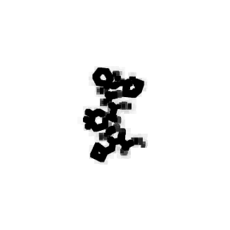 CC1CN(C(=O)[C@@H](NC(=O)NC2(C[S+]([O-])c3ccccn3)CCCCC2)C(C)(C)C)[C@H](C(=O)NC(CC2CCC2)C(=O)C(N)=O)CC1(C)C